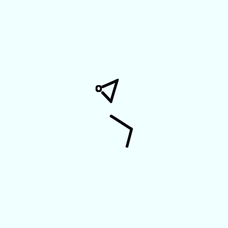 C1CO1.CCC